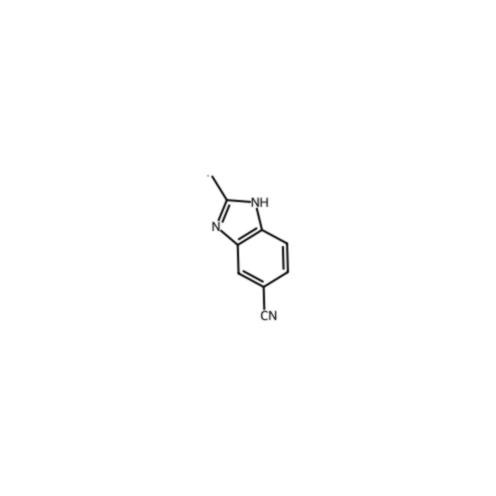 [CH2]c1nc2cc(C#N)ccc2[nH]1